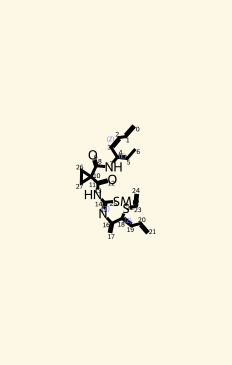 C=C/C=C\C(=C/C)NC(=O)C1(C(=O)N/C(=N/C(=C)/C(=C/C=C)SC=C)SC)CC1